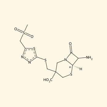 CS(=O)(=O)Cc1nnc(SCC2(C(=O)O)CS[C@@H]3C(N)C(=O)N3C2)s1